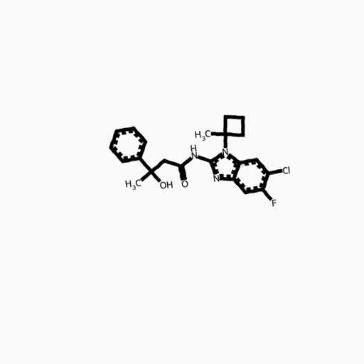 CC(O)(CC(=O)Nc1nc2cc(F)c(Cl)cc2n1C1(C)CCC1)c1ccccc1